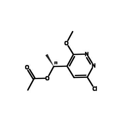 COc1nnc(Cl)cc1[C@@H](C)OC(C)=O